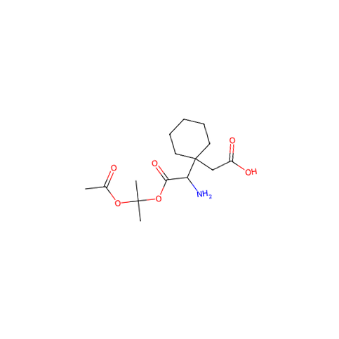 CC(=O)OC(C)(C)OC(=O)C(N)C1(CC(=O)O)CCCCC1